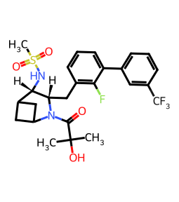 CC(C)(O)C(=O)N1C2CC(C2)[C@H](NS(C)(=O)=O)[C@@H]1Cc1cccc(-c2cccc(C(F)(F)F)c2)c1F